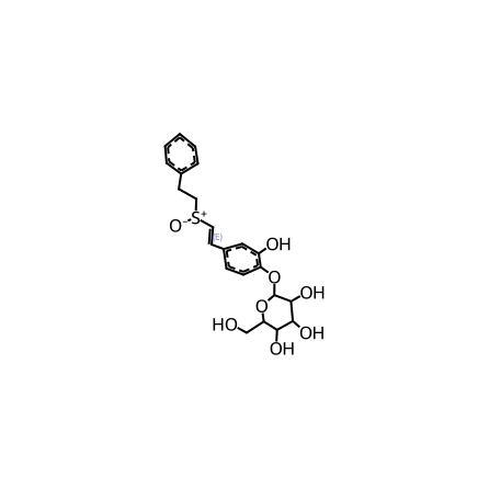 [O-][S+](/C=C/c1ccc(OC2OC(CO)C(O)C(O)C2O)c(O)c1)CCc1ccccc1